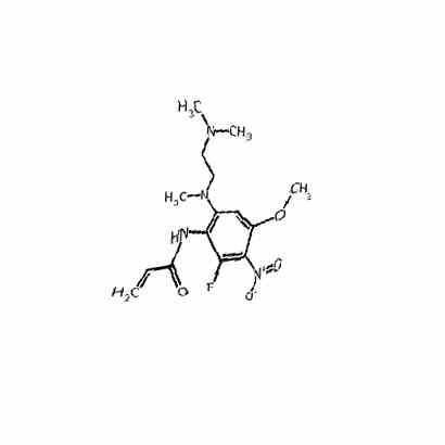 C=CC(=O)Nc1c(N(C)CCN(C)C)cc(OC)c([N+](=O)[O-])c1F